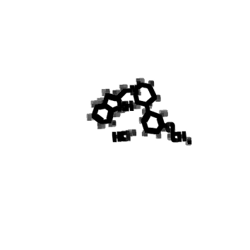 COc1cccc(C2CCCN(Cc3cc4ccccc4[nH]3)C2)c1.Cl